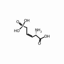 N[C@@H](/C=C\CP(=O)(O)O)C(=O)O